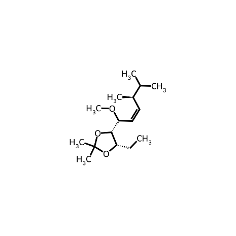 CC[C@@H]1OC(C)(C)O[C@@H]1C(/C=C\[C@@H](C)C(C)C)OC